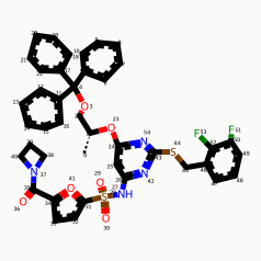 C[C@H](COC(c1ccccc1)(c1ccccc1)c1ccccc1)Oc1cc(NS(=O)(=O)c2ccc(C(=O)N3CCC3)o2)nc(SCc2cccc(F)c2F)n1